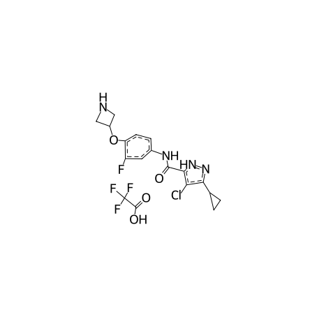 O=C(Nc1ccc(OC2CNC2)c(F)c1)c1[nH]nc(C2CC2)c1Cl.O=C(O)C(F)(F)F